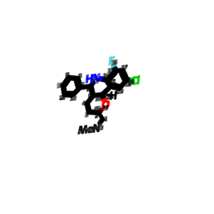 CNC[C@H]1CCC2C(c3ccccc3)Nc3c(F)cc(Cl)cc3[C@H]2O1